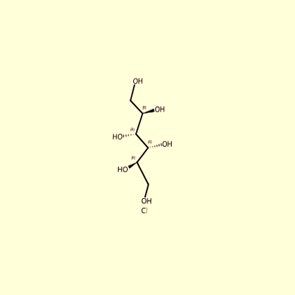 OC[C@@H](O)[C@@H](O)[C@H](O)[C@H](O)CO.[C]